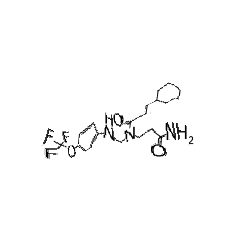 NC(=O)CCN(CNc1ccc(OC(F)(F)F)cc1)C(=O)[CH]CC1CCCCC1